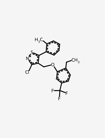 CCc1ccc(C(F)(F)F)[c]c1OCc1c(Cl)nsc1-c1ccccc1C